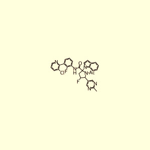 CC(=O)N1C(c2cnc(C)nc2)C(F)CC1(C(=O)Nc1cccc(-c2ncccc2Cl)c1F)n1ccc2ccccc21